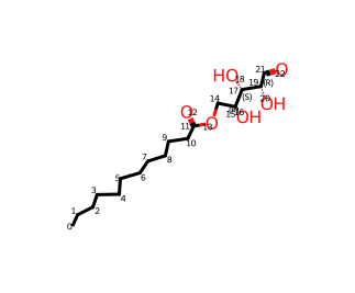 CCCCCCCCCCCC(=O)OC[C@@H](O)[C@H](O)[C@@H](O)C=O